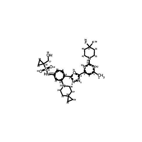 Cc1cc(-c2nnc(-c3ccc(NS(=O)(=O)C4(CO)CC4)cc3N3CCC4(CC3)CC4)o2)nc(N2CCC(F)(F)CC2)n1